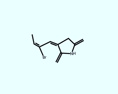 C=C1C/C(=C/C(Br)=C\C)C(=C)N1